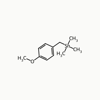 COc1ccc([CH2][Sn]([CH3])([CH3])[CH3])cc1